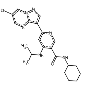 CC(C)Nc1cc(-c2cnn3cc(Cl)cnc23)ncc1C(=O)NC1CCCCC1